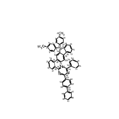 Cc1ccc([Si]2(c3ccc(C)cc3)c3ccccc3-c3ccc(-c4ccccc4-c4nc(-c5ccccc5)nc(-c5ccc(-c6ccccc6)cc5)n4)cc32)cc1